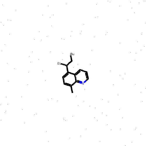 CCC(C)CC(CC)c1ccc(C)c2ncccc12